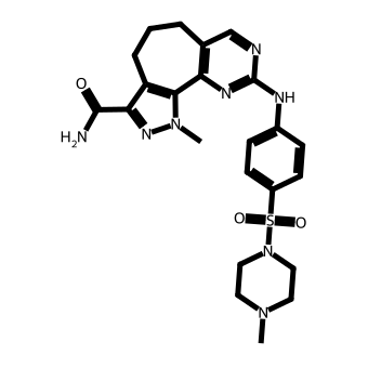 CN1CCN(S(=O)(=O)c2ccc(Nc3ncc4c(n3)-c3c(c(C(N)=O)nn3C)CCC4)cc2)CC1